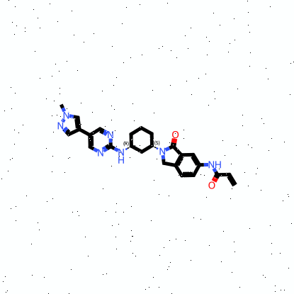 C=CC(=O)Nc1ccc2c(c1)C(=O)N([C@H]1CCC[C@@H](Nc3ncc(-c4cnn(C)c4)cn3)C1)C2